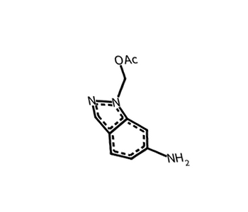 CC(=O)OCn1ncc2ccc(N)cc21